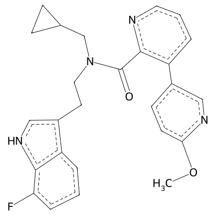 COc1ccc(-c2cccnc2C(=O)N(CCc2c[nH]c3c(F)cccc23)CC2CC2)cn1